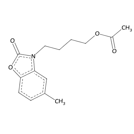 CC(=O)OCCCCn1c(=O)oc2ccc(C)cc21